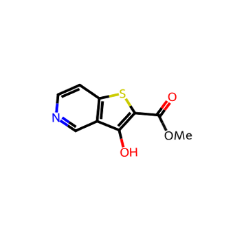 COC(=O)c1sc2ccncc2c1O